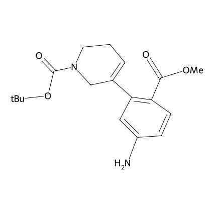 COC(=O)c1ccc(N)cc1C1=CCCN(C(=O)OC(C)(C)C)C1